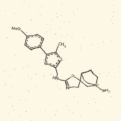 B[N+]12CCC(CC1)C1(CN=C(Nc3nc(-c4ccc(OC)cc4)c(C)s3)O1)C2